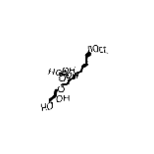 CCCCCCCCC=CCCCCCCCCOCC(O)CO.O=P(O)(O)O